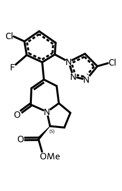 COC(=O)[C@@H]1CCC2CC(c3c(-n4cc(Cl)nn4)ccc(Cl)c3F)=CC(=O)N21